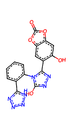 O=c1oc2cc(O)c(-c3nnc(O)n3-c3ccccc3-c3nnn[nH]3)cc2o1